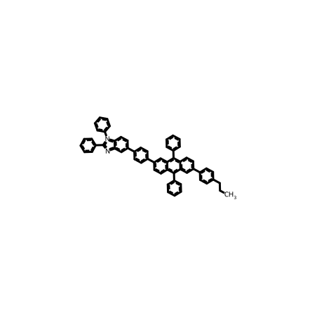 CCCc1ccc(-c2ccc3c(-c4ccccc4)c4cc(-c5ccc(-c6ccc7c(c6)nc(-c6ccccc6)n7-c6ccccc6)cc5)ccc4c(-c4ccccc4)c3c2)cc1